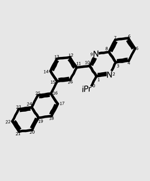 CC(C)c1nc2ccccc2nc1-c1cccc(-c2ccc3ccccc3c2)c1